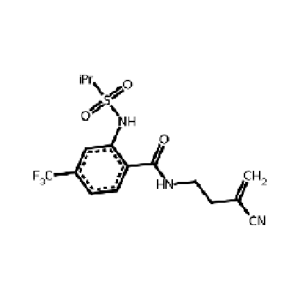 C=C(C#N)CCNC(=O)c1ccc(C(F)(F)F)cc1NS(=O)(=O)C(C)C